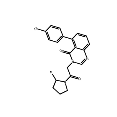 O=C(Cn1cnc2cccc(-c3ccc(Cl)cc3)c2c1=O)N1CCCC1F